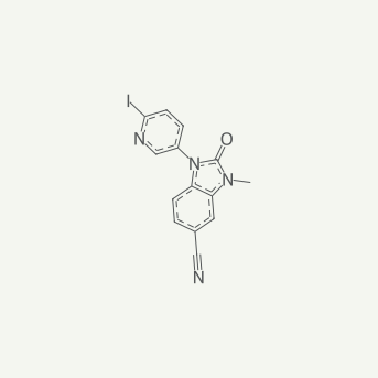 Cn1c(=O)n(-c2ccc(I)nc2)c2ccc(C#N)cc21